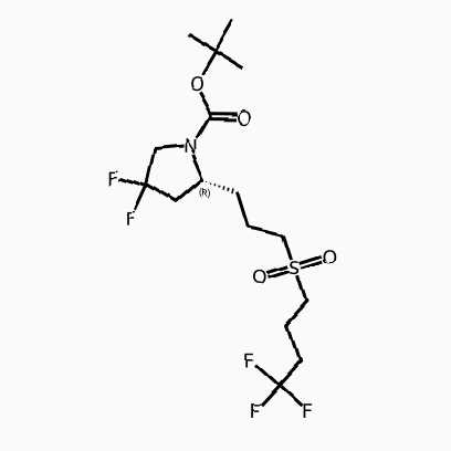 CC(C)(C)OC(=O)N1CC(F)(F)C[C@H]1CCCS(=O)(=O)CCCC(F)(F)F